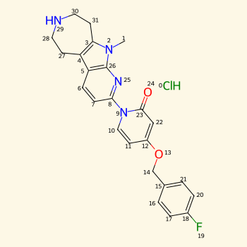 Cl.Cn1c2c(c3ccc(-n4ccc(OCc5ccc(F)cc5)cc4=O)nc31)CCNCC2